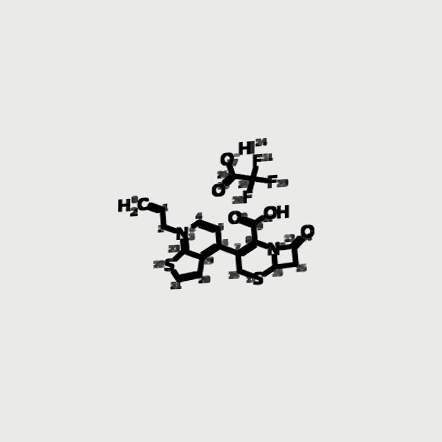 C=CC[n+]1ccc(C2=C(C(=O)O)N3C(=O)CC3SC2)c2ccsc21.I.O=C([O-])C(F)(F)F